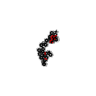 CC(C)(C)c1ccc2c(c1)C1(c3ccccc3-c3ccc(N(c4cccc(-c5cccc6c5oc5cccc(-c7ccc8c(c7)C(c7ccccc7)(c7ccccc7)C7=C8CCC(N(c8ccccc8C8=C=C=CC9=C8c8ccccc8C9(C)C)c8ccccc8-c8cccc9c8oc8ccccc89)=C7)c56)c4)c4ccccc4C4=CC=CC5C4c4ccccc4C5(C)C)cc31)c1cc(C(C)(C)C)ccc1-2